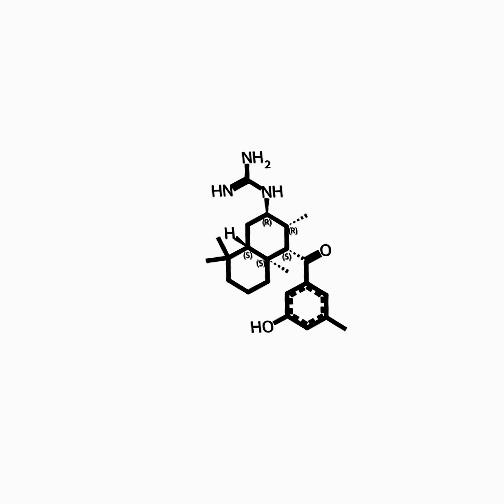 Cc1cc(O)cc(C(=O)[C@H]2[C@@H](C)[C@H](NC(=N)N)C[C@H]3C(C)(C)CCC[C@]23C)c1